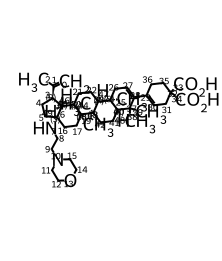 C=C(C)[C@@H]1CC[C@]2(NCCN3CCOCC3)CC[C@]3(C)[C@H](CC[C@@H]4[C@@]5(C)CC=C(C6=CCC(C(=O)O)(C(=O)O)CC6)C(C)(C)[C@@H]5CC[C@]43C)[C@@H]12